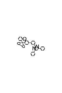 c1ccc(-c2cc(-c3ccccc3)nc(-c3cccc(-c4ccc5c(c4)Oc4ccccc4C54c5ccccc5-c5ccccc54)c3)n2)cc1